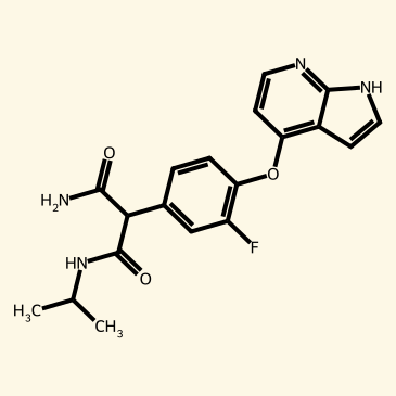 CC(C)NC(=O)C(C(N)=O)c1ccc(Oc2ccnc3[nH]ccc23)c(F)c1